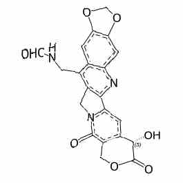 O=CNCc1c2c(nc3cc4c(cc13)OCO4)-c1cc3c(c(=O)n1C2)COC(=O)[C@H]3O